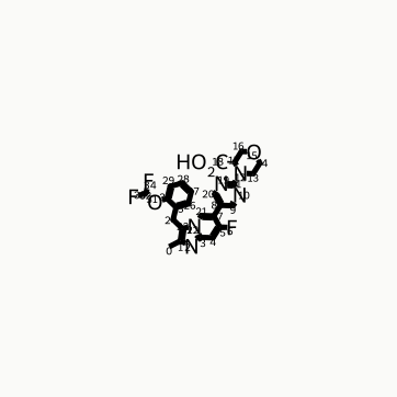 Cc1nc2cc(F)c(-c3cnc(N4CCOC[C@H]4C(=O)O)nc3)cn2c1Cc1ccccc1OC(F)F